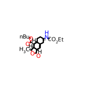 CCCCOC(=O)[C@@H]1[C@@H]2[C@@H](C)OC(=O)[C@@H]2C=C2C[C@H](NC(=O)OCC)CC[C@H]21